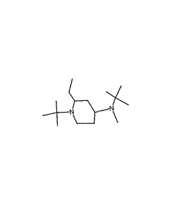 CCC1CC(N(C)C(C)(C)C)CCN1C(C)(C)C